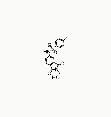 Cc1ccc(S(=O)(=O)Nc2ccc3c(c2)C(=O)N(CO)C3=O)cc1